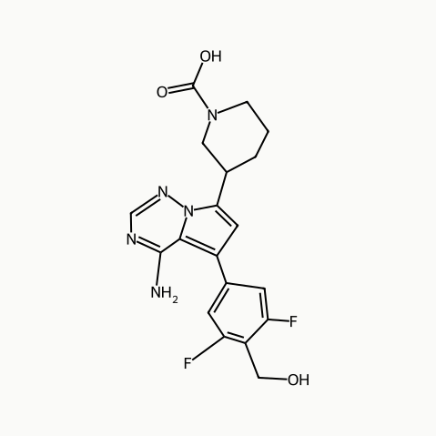 Nc1ncnn2c(C3CCCN(C(=O)O)C3)cc(-c3cc(F)c(CO)c(F)c3)c12